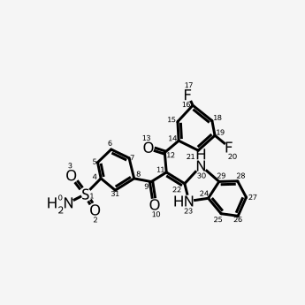 NS(=O)(=O)c1cccc(C(=O)C(C(=O)c2cc(F)cc(F)c2)=C2Nc3ccccc3N2)c1